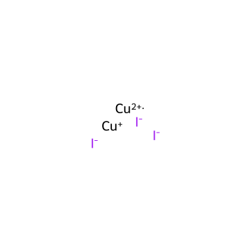 [Cu+2].[Cu+].[I-].[I-].[I-]